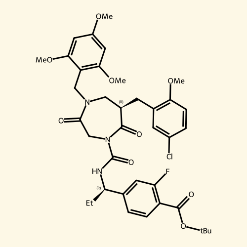 CC[C@@H](NC(=O)N1CC(=O)N(Cc2c(OC)cc(OC)cc2OC)C[C@@H](Cc2cc(Cl)ccc2OC)C1=O)c1ccc(C(=O)OC(C)(C)C)c(F)c1